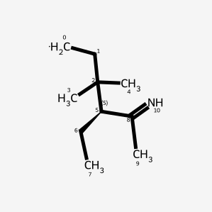 [CH2]CC(C)(C)[C@H](CC)C(C)=N